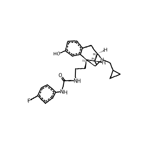 C[C@H]1[C@H]2Cc3ccc(O)cc3[C@@]1(CCNC(=O)Nc1ccc(F)cc1)CN2CC1CC1